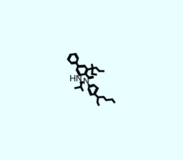 C=C(c1ccc(-c2ccccc2)cc1C(C)(CC)CCC)N(C(=N)C(C)C)c1ccc(C(CC)CCCC)cc1